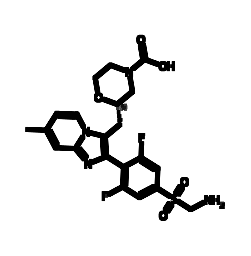 Cc1ccn2c(C[C@H]3CN(C(=O)O)CCO3)c(-c3c(F)cc(S(=O)(=O)CN)cc3F)nc2c1